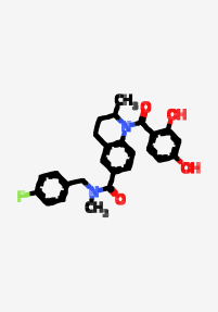 CC1CCc2cc(C(=O)N(C)Cc3ccc(F)cc3)ccc2N1C(=O)c1ccc(O)cc1O